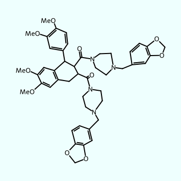 COc1ccc(C2c3cc(OC)c(OC)cc3CC(C(=O)N3CCN(Cc4ccc5c(c4)OCO5)CC3)C2C(=O)N2CCN(Cc3ccc4c(c3)OCO4)CC2)cc1OC